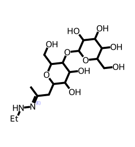 CCN/N=C(\C)CC1OC(CO)C(OC2OC(CO)C(O)C(O)C2O)C(O)C1O